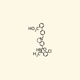 C[C@H](NC(=O)c1ccc2c(c1)CCCN2Cc1ccc(-c2ccccc2C(=O)O)cc1)c1cccc(Cl)c1